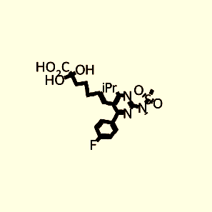 CC(C)c1nc(N(C)S(C)(=O)=O)nc(-c2ccc(F)cc2)c1/C=C/CCCC(O)(O)C(=O)O